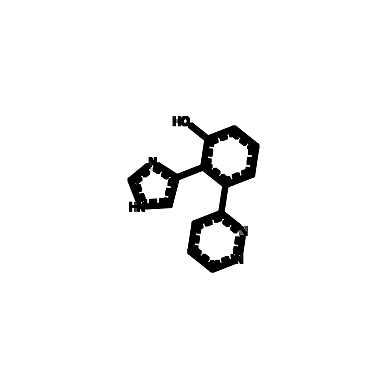 Oc1cccc(-c2cccnn2)c1-c1c[nH]cn1